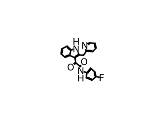 O=C(Nc1ccc(F)cc1)C(=O)c1c(Cc2ccccn2)[nH]c2ccccc12